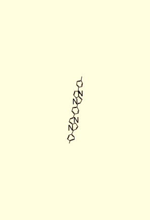 Cc1ccc(-c2ccc3nc(-c4ccc(-c5ccc6nc(-c7ccc(C)cc7)ccc6n5)cc4)ccc3n2)cc1